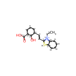 CC[n+]1c(/C=C/c2cccc(C(=O)O)c2O)sc2ccccc21